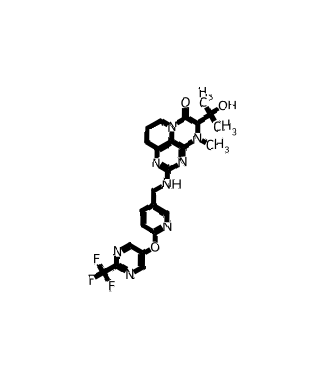 CN1c2nc(NCc3ccc(Oc4cnc(C(F)(F)F)nc4)nc3)nc3c2N(CCC3)C(=O)C1C(C)(C)O